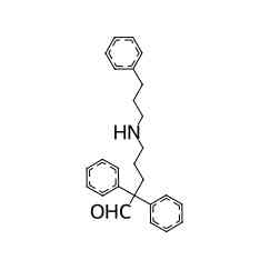 O=CC(CCCNCCCc1ccccc1)(c1ccccc1)c1ccccc1